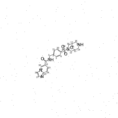 O=C(NCc1ccc(S(=O)(=O)N2CC3CNCC(C2)O3)cc1)c1ccc2nccn2c1